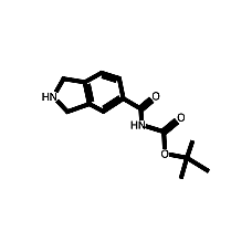 CC(C)(C)OC(=O)NC(=O)c1ccc2c(c1)CNC2